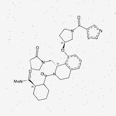 CNC(=O)[C@@H]1CCCCC1C(=O)N1CCc2cccc(O[C@H]3CCN(C(=O)c4cncs4)C3)c2[C@H]1CN1CCCC1=O